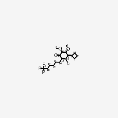 COC1=C(OC)C(=C2CCC2)C(C)=C(CCCCCC(F)(F)F)C1=O